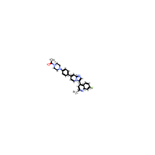 CC(=O)N1CCN(c2ccc(-c3ccn4c(-c5cc(C)nc6cc(F)ccc56)cnc4c3)cc2)CC1